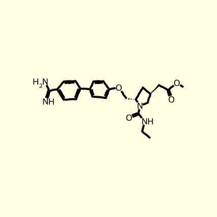 CCNC(=O)N1C[C@H](CC(=O)OC)C[C@H]1COc1ccc(-c2ccc(C(=N)N)cc2)cc1